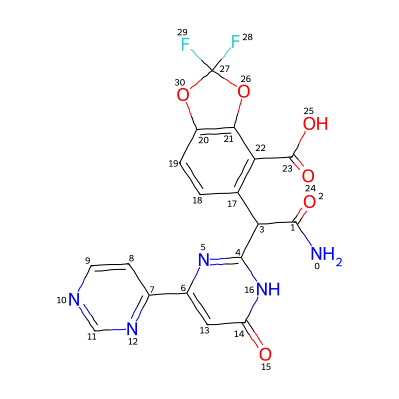 NC(=O)C(c1nc(-c2ccncn2)cc(=O)[nH]1)c1ccc2c(c1C(=O)O)OC(F)(F)O2